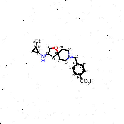 CC[C@@H]1C[C@H]1NC1COC2(CCN(Cc3ccc(C(=O)O)cc3)CC2)C1